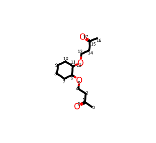 CC(=O)CCOC1CCCCC1OCCC(C)=O